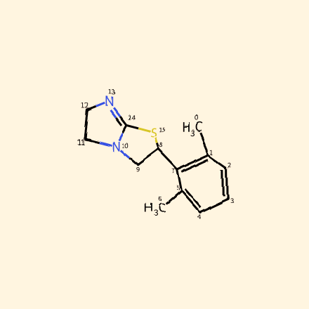 Cc1cccc(C)c1C1CN2CCN=C2S1